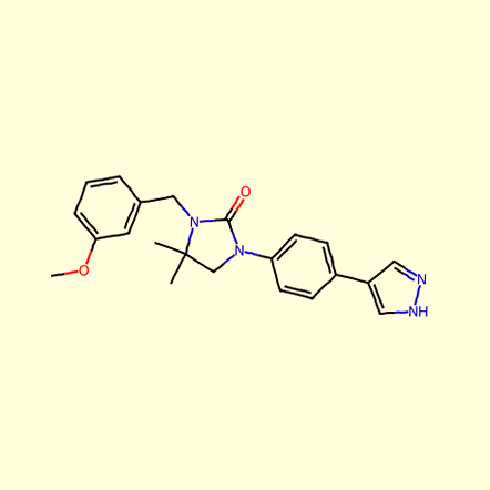 COc1cccc(CN2C(=O)N(c3ccc(-c4cn[nH]c4)cc3)CC2(C)C)c1